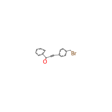 O=C(C#Cc1ccc(CBr)cc1)c1ccccc1